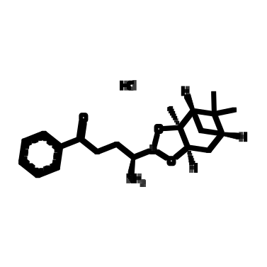 CC1(C)[C@@H]2C[C@H]3OB([C@@H](N)CCC(=O)c4ccccc4)O[C@@]3(C)[C@H]1C2.Cl